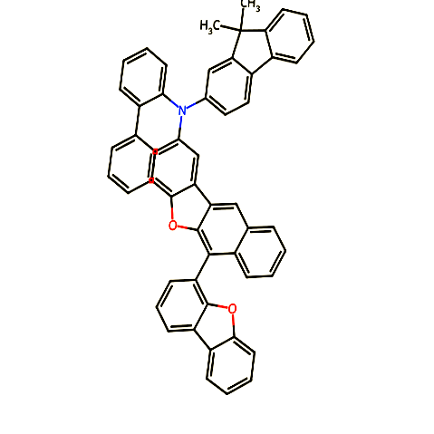 CC1(C)c2ccccc2-c2ccc(N(c3ccc4oc5c(-c6cccc7c6oc6ccccc67)c6ccccc6cc5c4c3)c3ccccc3-c3ccccc3)cc21